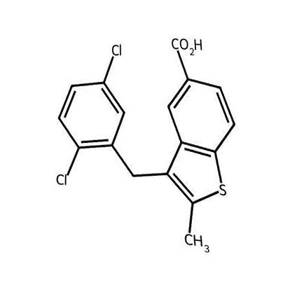 Cc1sc2ccc(C(=O)O)cc2c1Cc1cc(Cl)ccc1Cl